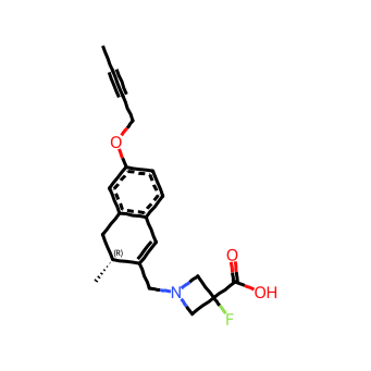 CC#CCOc1ccc2c(c1)C[C@@H](C)C(CN1CC(F)(C(=O)O)C1)=C2